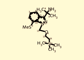 CSc1cccc2c(C(C)(C)N)nn(COCC[Si](C)(C)C)c12